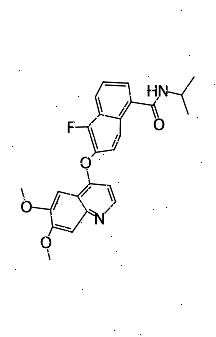 COc1cc2nccc(Oc3ccc4c(C(=O)NC(C)C)cccc4c3F)c2cc1OC